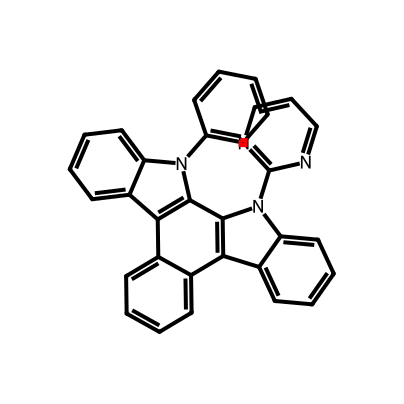 c1ccc(-n2c3ccccc3c3c4ccccc4c4c5ccccc5n(-c5ncccn5)c4c32)cc1